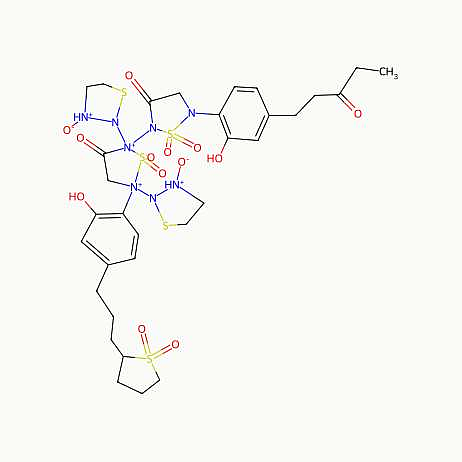 CCC(=O)CCc1ccc(N2CC(=O)N([N+]3(N4SCC[NH+]4[O-])C(=O)C[N+](c4ccc(CCCC5CCCS5(=O)=O)cc4O)(N4SCC[NH+]4[O-])S3(=O)=O)S2(=O)=O)c(O)c1